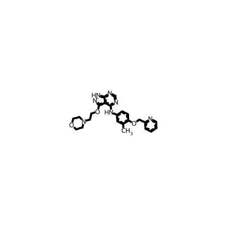 Cc1cc(Nc2ncnc3[nH]nc(OCCN4CCOCC4)c23)ccc1OCc1ccccn1